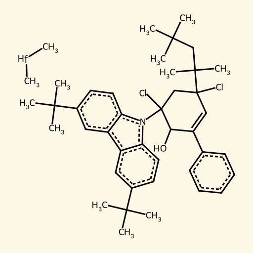 CC(C)(C)CC(C)(C)C1(Cl)C=C(c2ccccc2)C(O)C(Cl)(n2c3ccc(C(C)(C)C)cc3c3cc(C(C)(C)C)ccc32)C1.[CH3][Hf][CH3]